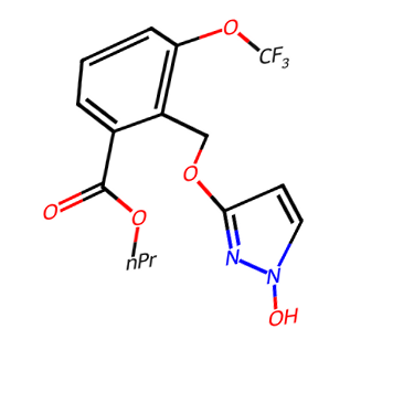 CCCOC(=O)c1cccc(OC(F)(F)F)c1COc1ccn(O)n1